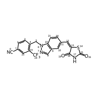 N#Cc1ccc(Cn2ncc3cc(C=C4SC(=O)NC4=O)ccc32)c(C(F)(F)F)c1